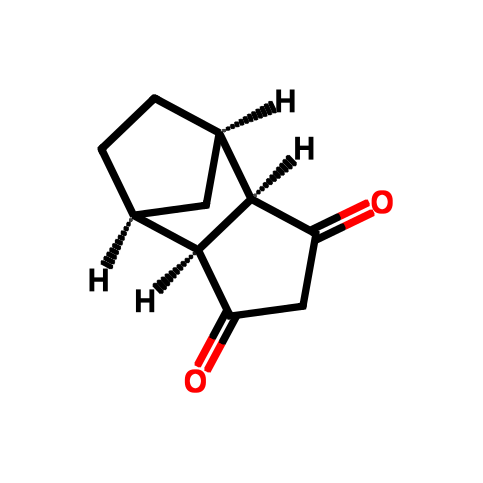 O=C1CC(=O)[C@H]2[C@H]3CC[C@H](C3)[C@@H]12